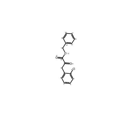 O=C(Cc1ccccc1Cl)C(=O)OCc1ccccc1